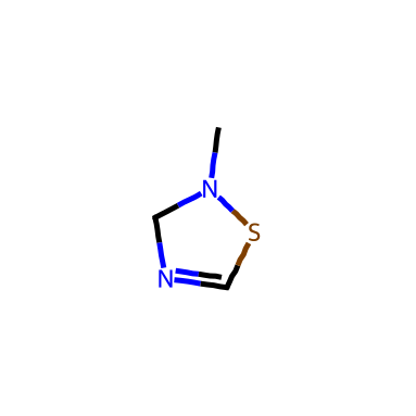 CN1CN=CS1